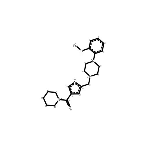 CC(C)Oc1ccccc1N1CCN(Cc2cc(C(=O)N3CCCCC3)cs2)CC1